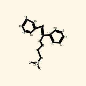 CN(C)CCCC/C(=C\c1ccccc1)c1ccccc1